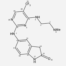 CNCCNc1nc(Nc2ccc3c(c2)CC(=O)N3)ncc1C(F)(F)F